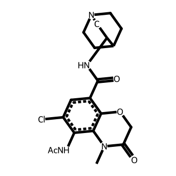 CC(=O)Nc1c(Cl)cc(C(=O)NC2CN3CCC2CC3)c2c1N(C)C(=O)CO2